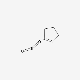 [C]1=CCCC1.[O]=[Ti]=[O]